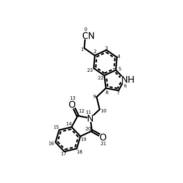 N#CCc1ccc2[nH]cc(CCN3C(=O)c4ccccc4C3=O)c2c1